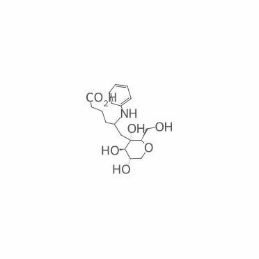 O=C(O)CCCC(C[C@]1(O)[C@H](O)[C@@H](O)CO[C@@H]1CO)Nc1ccccc1